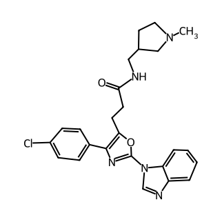 CN1CCC(CNC(=O)CCc2oc(-n3cnc4ccccc43)nc2-c2ccc(Cl)cc2)C1